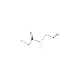 C=CCN(O)C(=O)CC